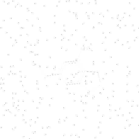 CCCCc1cc(CO)cc2c1COC2